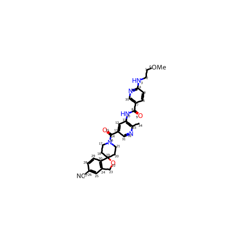 COCCNc1ccc(C(=O)Nc2cc(C(=O)N3CCC4(CC3)OCc3cc(C#N)ccc34)cnc2C)cn1